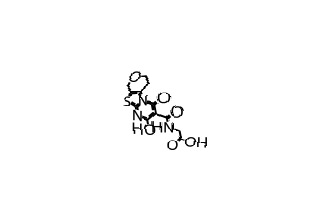 O=C(O)CNC(=O)c1c(O)nc2sc3c(n2c1=O)CCOC3